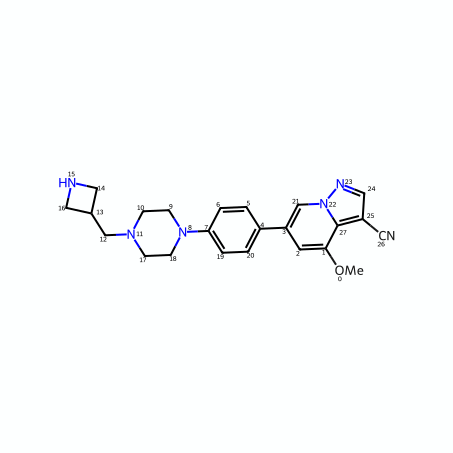 COc1cc(-c2ccc(N3CCN(CC4CNC4)CC3)cc2)cn2ncc(C#N)c12